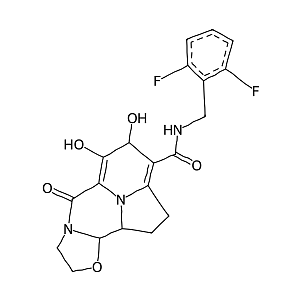 O=C(NCc1c(F)cccc1F)C1=C2CCC3C4OCCN4C(=O)C(=C(O)C1O)N23